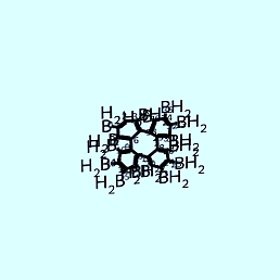 Bc1cc(B)c2c(c1B)-c1c(B)c(B)c(B)c(B)c1-c1c(B)c(B)c(B)c(B)c1-c1c(B)c(B)c(B)c(B)c1-2